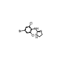 Clc1cc(Br)cc(Cl)c1NC1=NCCN1